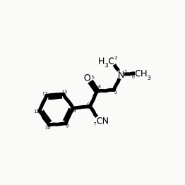 CN(C)CC(=O)C(C#N)c1ccccc1